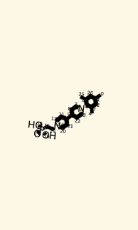 Cc1cc(C)c(-[n+]2ccc(-c3cc[n+](CCP(=O)(O)O)cc3)cc2)c(C)c1